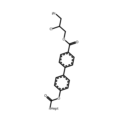 CCCCCCCC(=O)Oc1ccc(-c2ccc(C(=O)OCC(Cl)CC(C)C)cc2)cc1